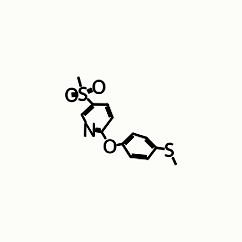 CSc1ccc(Oc2ccc(S(C)(=O)=O)cn2)cc1